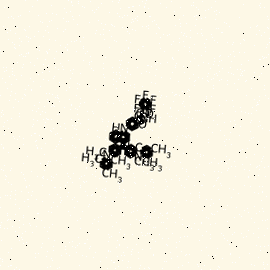 Cc1cc(C)c(N(C)c2ccc(C(c3ccc(N(C)c4c(C)cc(C)cc4C)cc3)c3ccc(NC4CCC(S(=O)(=O)NS(=O)(=O)c5c(F)c(F)c(F)c(F)c5F)CC4)c4ccccc34)cc2)c(C)c1